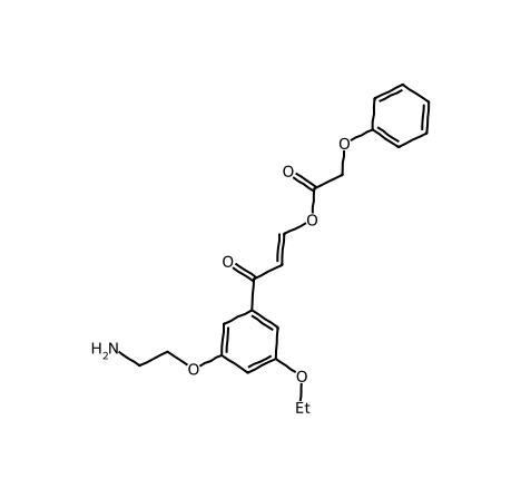 CCOc1cc(OCCN)cc(C(=O)C=COC(=O)COc2ccccc2)c1